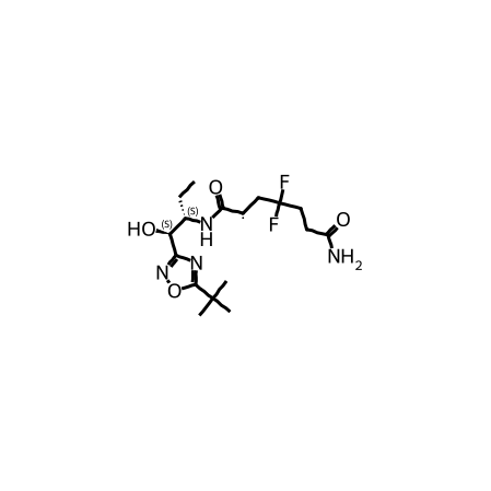 CC[C@H](NC(=O)[CH]CC(F)(F)CCC(N)=O)[C@H](O)c1noc(C(C)(C)C)n1